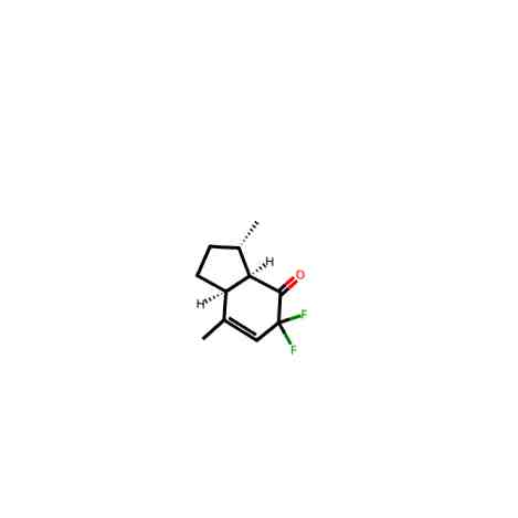 CC1=CC(F)(F)C(=O)[C@H]2[C@@H]1CC[C@@H]2C